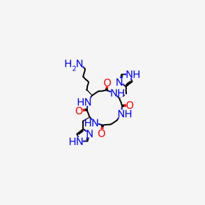 NCCCC[C@H]1CC(=O)N[C@H](Cc2c[nH]cn2)C(=O)NCCC(=O)N[C@@H](Cc2c[nH]cn2)C(=O)N1